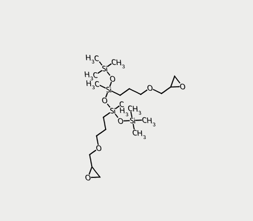 C[Si](C)(C)O[Si](C)(CCCOCC1CO1)O[Si](C)(CCCOCC1CO1)O[Si](C)(C)C